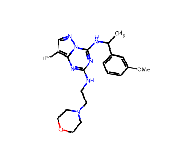 COc1cccc(C(C)Nc2nc(NCCN3CCOCC3)nc3c(C(C)C)cnn23)c1